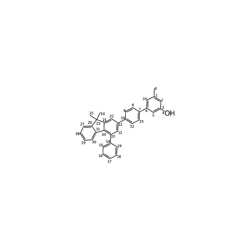 Cc1cc(O)cc(-c2ccc(-c3cc(-c4ccccc4)c4c(c3)C(C)(C)c3ccccc3-4)cc2)c1